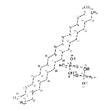 CCCCCCCCCCCCCCCCSCC.CCCCCCCCCCCCCCCCSCC.OP(O)(O)=S.OP(O)(O)=S